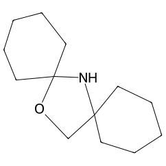 C1CCC2(CC1)COC1(CCCCC1)N2